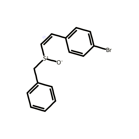 [O-][S+](/C=C\c1ccc(Br)cc1)Cc1ccccc1